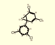 ClC1=CC2(c3cc(Cl)cc(Cl)c3)SC2C(Cl)=C1